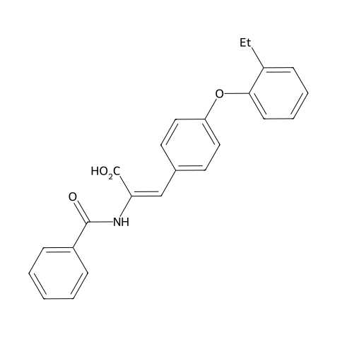 CCc1ccccc1Oc1ccc(/C=C(/NC(=O)c2ccccc2)C(=O)O)cc1